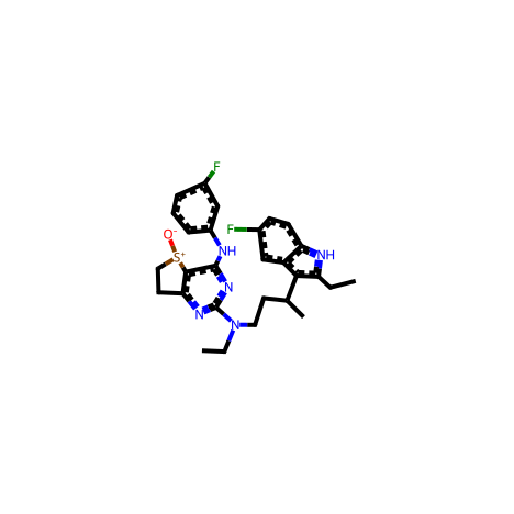 CCc1[nH]c2ccc(F)cc2c1C(C)CCN(CC)c1nc2c(c(Nc3cccc(F)c3)n1)[S+]([O-])CC2